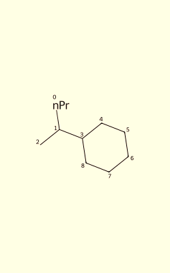 C[CH]CC(C)C1CCCCC1